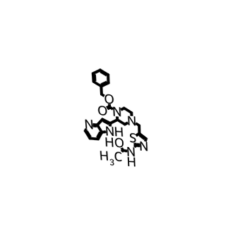 CC(O)Nc1ncc(CN2CCN(C(=O)OCc3ccccc3)C(c3cc4ncccc4[nH]3)C2)s1